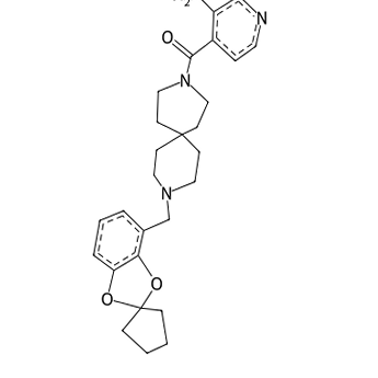 Nc1cnccc1C(=O)N1CCC2(CCN(Cc3cccc4c3OC3(CCCC3)O4)CC2)CC1